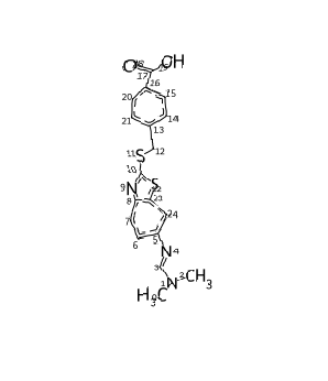 CN(C)C=Nc1ccc2nc(SCc3ccc(C(=O)O)cc3)sc2c1